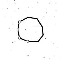 C1CCOOOOCC1